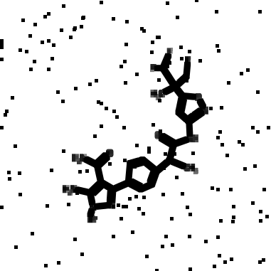 CC(C(=O)Nc1cc(C(C)(CF)C(F)F)on1)c1ccc(-c2nn(C(C)C)c(N)c2C(N)=O)cc1